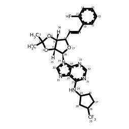 CC1(C)O[C@@H]2[C@H](O1)[C@@H](C=Cc1ccccc1F)O[C@H]2n1cnc2c(NC3CCC(C(F)(F)F)C3)ncnc21